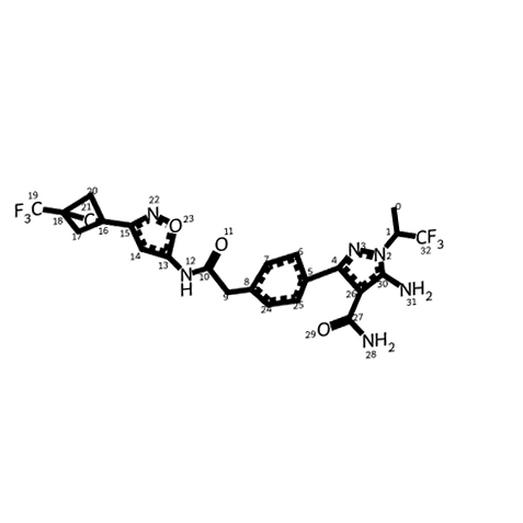 CC(n1nc(-c2ccc(CC(=O)Nc3cc(C45CC(C(F)(F)F)(C4)C5)no3)cc2)c(C(N)=O)c1N)C(F)(F)F